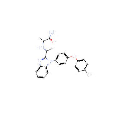 CC(NC(C)c1nc2ccccc2n1-c1ccc(Oc2ccc(C(F)(F)F)cc2)cc1)C(N)=O